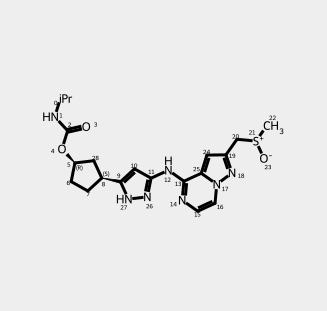 CC(C)NC(=O)O[C@@H]1CC[C@H](c2cc(Nc3nccn4nc(C[S+](C)[O-])cc34)n[nH]2)C1